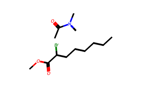 CC(=O)N(C)C.CCCCCCC(Br)C(=O)OC